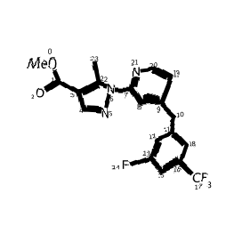 COC(=O)c1cnn(-c2cc(Cc3cc(F)cc(C(F)(F)F)c3)ccn2)c1C